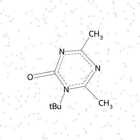 Cc1nc(C)n(C(C)(C)C)c(=O)n1